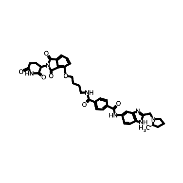 C[C@H]1CCCN1Cc1nc2cc(NC(=O)c3ccc(C(=O)NCCCCOc4cccc5c4C(=O)N(C4CCC(=O)NC4=O)C5=O)cc3)ccc2[nH]1